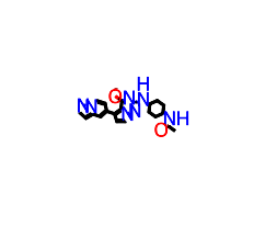 COc1nc(NC2CCC(NC(C)=O)CC2)nn2ccc(-c3ccn4nccc4c3)c12